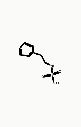 CCCCS(=O)(=O)NCCc1ccccc1